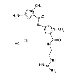 Cl.Cl.Cn1cc(NC(=O)c2cc(N)cn2C)cc1C(=O)NCCNC(=N)N